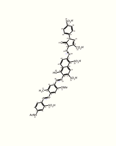 COc1cc(/N=N/c2ccc(NC(C)=O)cc2S(=O)(=O)O)c(C)cc1/N=N/c1c(S(=O)(=O)O)cc2c(S(=O)(=O)O)c(/N=N/C3C(=O)N(c4ccc(S(=O)(=O)O)cc4)N=C3C(=O)O)ccc2c1O